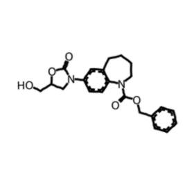 O=C1OC(CO)CN1c1ccc2c(c1)CCCCN2C(=O)OCc1ccccc1